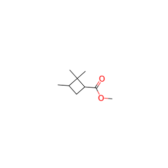 COC(=O)C1CC(C)C1(C)C